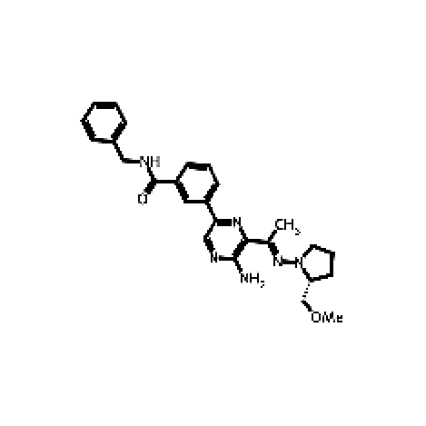 COC[C@H]1CCCN1/N=C(\C)c1nc(-c2cccc(C(=O)NCc3ccccc3)c2)cnc1N